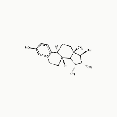 C[C@]12CC[C@@H]3c4ccc(O)cc4CC[C@H]3C1[C@@H](O)[C@@H](O)[C@@H]2O